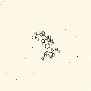 Nc1ncnc2c1c(-c1cc(F)c(NC(=O)Nc3cc(C4(C(F)(F)F)CC4)no3)c(F)c1)cn2C1CC1